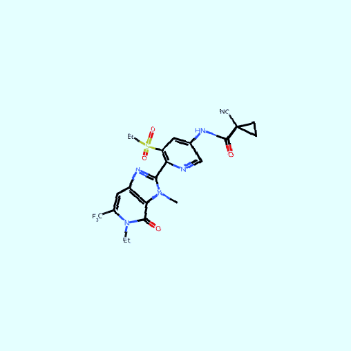 CCn1c(C(F)(F)F)cc2nc(-c3ncc(NC(=O)C4(C#N)CC4)cc3S(=O)(=O)CC)n(C)c2c1=O